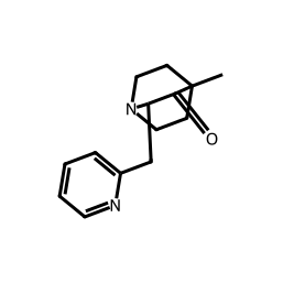 CC12CCN(CC1)C(Cc1ccccn1)C2=O